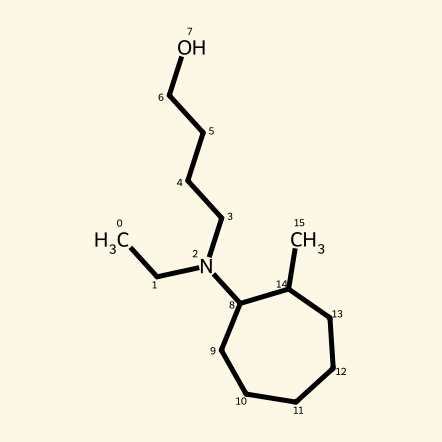 CCN(CCCCO)C1CCCCCC1C